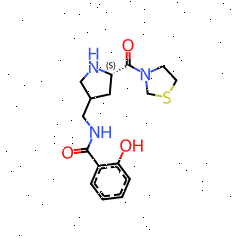 O=C(NCC1CN[C@H](C(=O)N2CCSC2)C1)c1ccccc1O